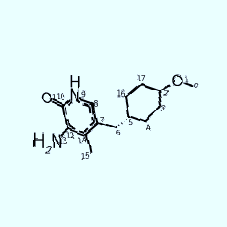 CO[C@H]1CC[C@H](Cc2c[nH]c(=O)c(N)c2C)CC1